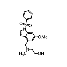 COc1cc(CN(C)CCO)c2ccn(S(=O)(=O)c3ccccc3)c2c1